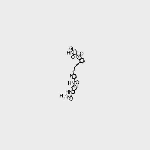 CN1CCC[C@@H]1c1cc2cnc(NC(=O)c3ccc(CCCC#Cc4cccc5c4CN(C4CCC(=O)NC4=O)C5=O)nc3)cc2[nH]1